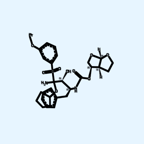 CC(C)Oc1cccc(S(=O)(=O)C(N)(OC2CCCC2)[C@H](O)[C@H](Cc2ccccc2)NC(=O)O[C@H]2CO[C@H]3OCC[C@H]32)c1